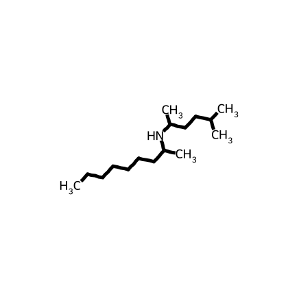 CCCCCCCC(C)NC(C)CCC(C)C